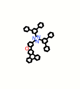 c1ccc(-c2cc(-c3ccccc3)cc(-c3nc(-c4cc(-c5ccccc5)cc(-c5ccccc5)c4)nc(-c4ccc5oc6cc7c8ccccc8c8ccccc8c7cc6c5c4)n3)c2)cc1